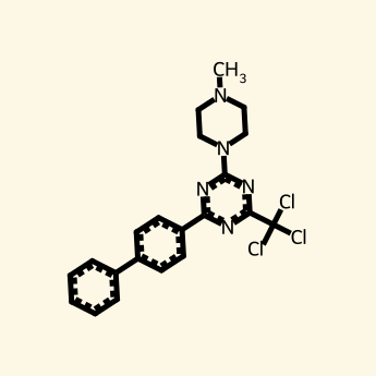 CN1CCN(c2nc(-c3ccc(-c4ccccc4)cc3)nc(C(Cl)(Cl)Cl)n2)CC1